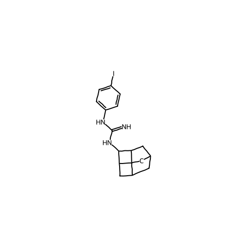 N=C(Nc1ccc(I)cc1)NC1C2CC3CC4CC1C42C3